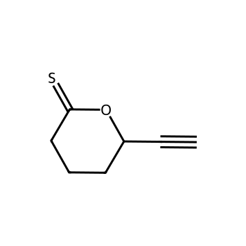 C#CC1CCCC(=S)O1